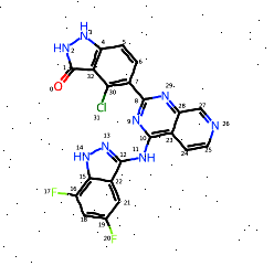 O=c1[nH][nH]c2ccc(-c3nc(Nc4n[nH]c5c(F)cc(F)cc45)c4ccncc4n3)c(Cl)c12